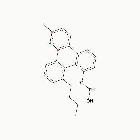 CCCCc1cccc(CCCC)c1-c1c(OPO)cccc1-c1ccccc1